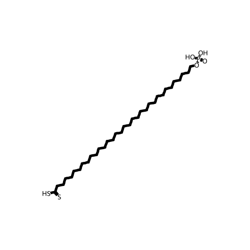 O=P(O)(O)OCCCCCCCCCCCCCCCCCCCCCCCCCCCCCCCCCC(=S)S